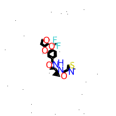 O=C(NC1(c2coc(-c3ccc(OC(F)F)c(OC4CCOC4)c3)n2)CC1)c1cscn1